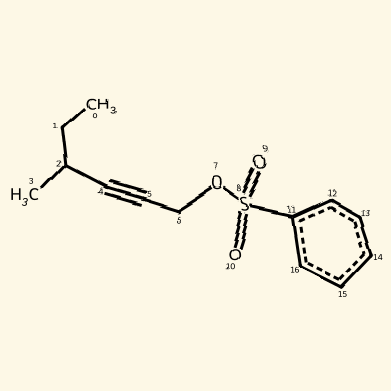 CCC(C)C#CCOS(=O)(=O)c1ccccc1